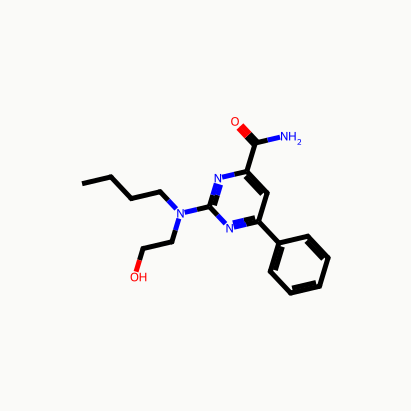 CCCCN(CCO)c1nc(C(N)=O)cc(-c2ccccc2)n1